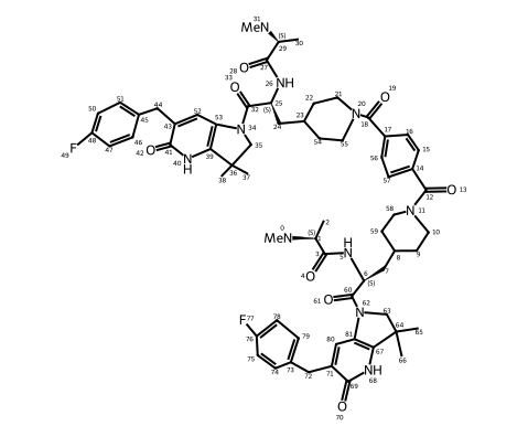 CN[C@@H](C)C(=O)N[C@@H](CC1CCN(C(=O)c2ccc(C(=O)N3CCC(C[C@H](NC(=O)[C@H](C)NC)C(=O)N4CC(C)(C)c5[nH]c(=O)c(Cc6ccc(F)cc6)cc54)CC3)cc2)CC1)C(=O)N1CC(C)(C)c2[nH]c(=O)c(Cc3ccc(F)cc3)cc21